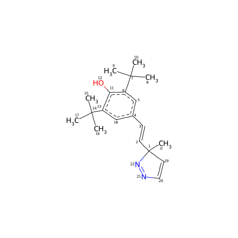 CC1(C=Cc2cc(C(C)(C)C)c(O)c(C(C)(C)C)c2)C=CN=N1